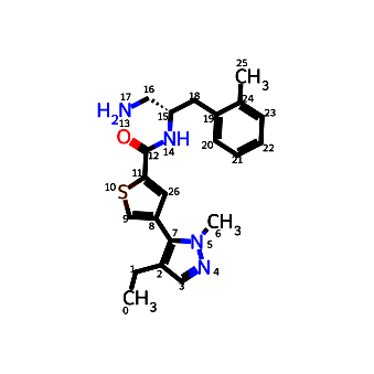 CCc1cnn(C)c1-c1csc(C(=O)N[C@H](CN)Cc2ccccc2C)c1